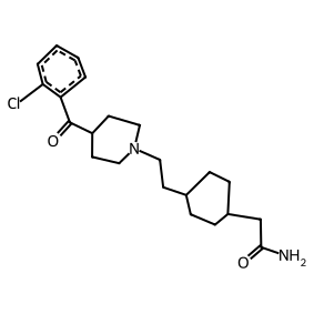 NC(=O)CC1CCC(CCN2CCC(C(=O)c3ccccc3Cl)CC2)CC1